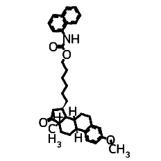 COc1ccc2c(c1)CC[C@H]1[C@@H]3[C@H](CCCCCCOC(=O)Nc4cccc5ccccc45)CC(=O)[C@@]3(C)CC[C@H]21